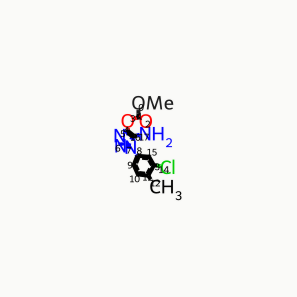 COC(=O)Oc1nnn(-c2ccc(C)c(Cl)c2)c1N